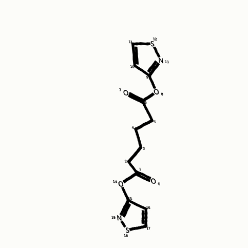 O=C(CCCCC(=O)Oc1ccsn1)Oc1ccsn1